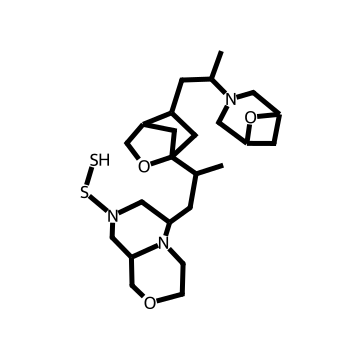 CC(CC1CC2(C(C)CC3CN(SS)CC4COCCN43)CC1CO2)N1CC2CC(C1)O2